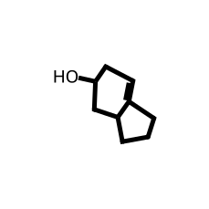 OC1CC=C2CCCC2C1